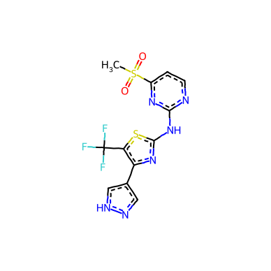 CS(=O)(=O)c1ccnc(Nc2nc(-c3cn[nH]c3)c(C(F)(F)F)s2)n1